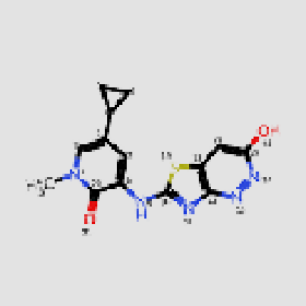 Cn1cc(C2CC2)cc(Nc2nc3nnc(O)cc3s2)c1=O